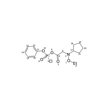 CCON(CC(=O)OP(=O)(Cl)Oc1ccccc1)C1CCCC1